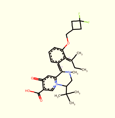 CC/C(C)=c1/c(OCC2CC(F)(F)C2)ccc/c1=C1\c2cc(=O)c(C(=O)O)cn2C(C(C)(C)C)CN1C